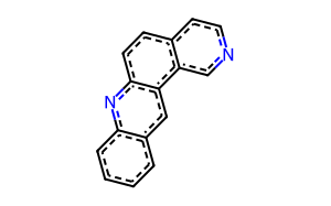 c1ccc2nc3ccc4ccncc4c3cc2c1